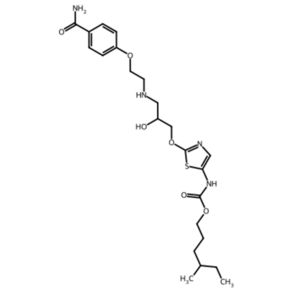 CCC(C)CCCOC(=O)Nc1cnc(OCC(O)CNCCOc2ccc(C(N)=O)cc2)s1